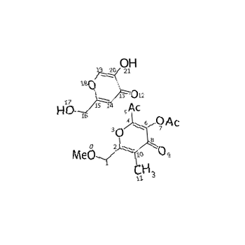 COCc1oc(C(C)=O)c(OC(C)=O)c(=O)c1C.O=c1cc(CO)occ1O